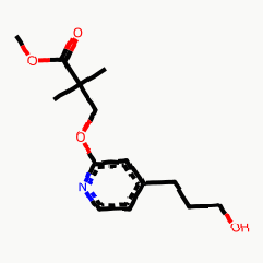 COC(=O)C(C)(C)COc1cc(CCCO)ccn1